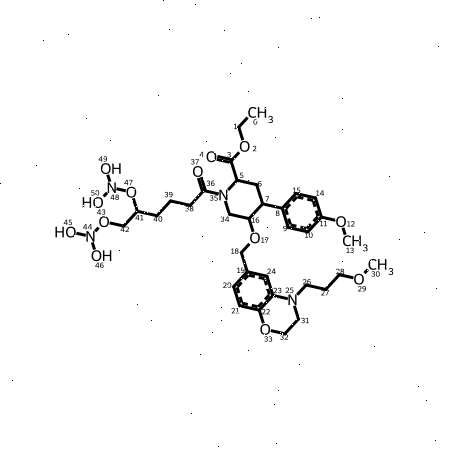 CCOC(=O)C1CC(c2ccc(OC)cc2)C(OCc2ccc3c(c2)N(CCCOC)CCO3)CN1C(=O)CCCC(CON(O)O)ON(O)O